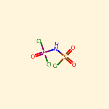 O=P(Cl)(Cl)NS(=O)(=O)Cl